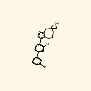 CC1(CO)Cc2nnc(-c3ccc(-c4cccc(F)c4)cc3Cl)n2CCS1